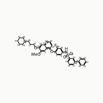 COc1cc2c(Oc3ccc(NS(=O)(=O)c4cccc(-c5ccccc5)c4)cc3F)ccnc2cc1OCCCN1CCCCC1